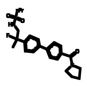 CCCS(=O)(=O)NCC(C)(F)c1ccc(-c2ccc(C(=O)N3CCCC3)cc2)cc1